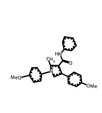 COc1ccc(-c2cn(-c3ccc(OC)cc3)c(C)c2C(=O)Nc2ccccc2)cc1